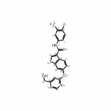 O=C(Nc1ccc(F)c(C(F)(F)F)c1)c1csc2cc(Oc3cc(CO)ncn3)ccc12